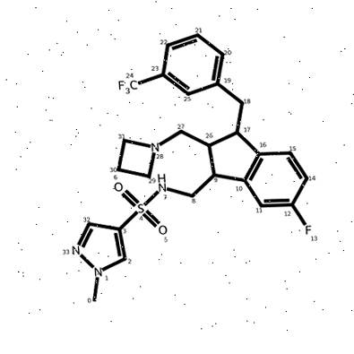 Cn1cc(S(=O)(=O)NCC2c3cc(F)ccc3C(Cc3cccc(C(F)(F)F)c3)C2CN2CCC2)cn1